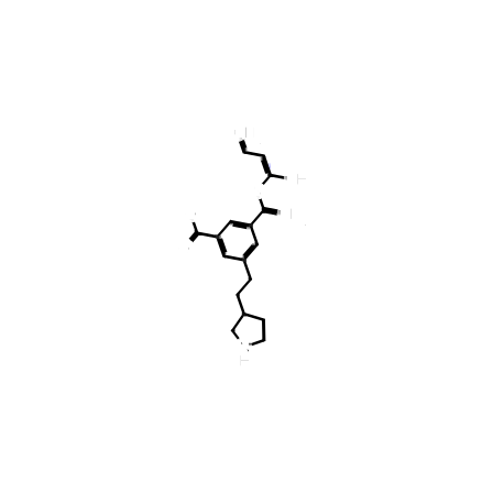 C=C/C=C(/C)SC(=C)c1cc(CCC2CCNC2)cc(C(=O)O)c1